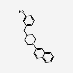 Oc1cccc(CN2CCN(c3cnc4ccccc4c3)CC2)c1